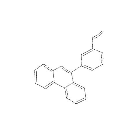 C=Cc1cccc(-c2cc3ccccc3c3ccccc23)c1